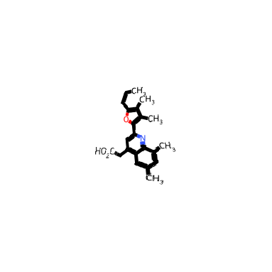 C/C=C\c1oc(-c2cc(CC(=O)O)c3cc(C)cc(C)c3n2)c(C)c1C